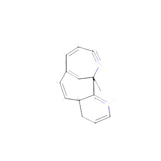 CC12C=C(C=CC#[N+]1)C=CC1CC=CN=C12